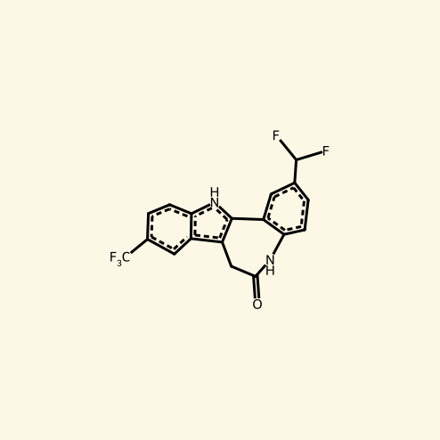 O=C1Cc2c([nH]c3ccc(C(F)(F)F)cc23)-c2cc(C(F)F)ccc2N1